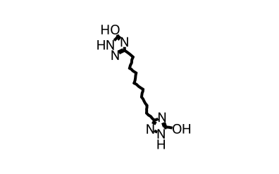 Oc1nc(CCCCCCCCc2n[nH]c(O)n2)n[nH]1